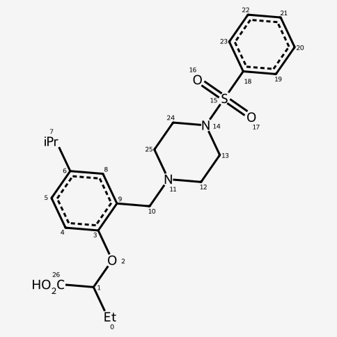 CCC(Oc1ccc(C(C)C)cc1CN1CCN(S(=O)(=O)c2ccccc2)CC1)C(=O)O